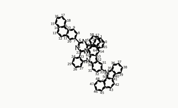 c1ccc(-c2nc(-c3ccc4c(ccc5ccccc54)c3)nc(-c3ccccc3-n3c4ccc(-n5c6ccccc6c6ccc7ccccc7c65)cc4c4cc5ccccc5cc43)n2)cc1